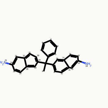 CC(c1ccccc1)(c1ccc2cc(N)ccc2c1)c1ccc2cc(N)ccc2c1